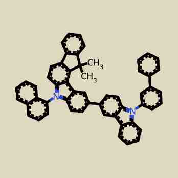 CC1(C)c2ccccc2-c2ccc3c(c21)c1cc(-c2ccc4c(c2)c2ccccc2n4-c2cccc(-c4ccccc4)c2)ccc1n3-c1cccc2ccccc12